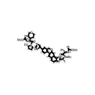 CC[C@H]1CC[C@@H](c2ncc(-c3ccc4c(c3)COc3cc5c(ccc6nc([C@H](C)N(C(=O)[C@@H](NC(=O)OC)C(C)C)[C@@H](C)CC)[nH]c65)cc3-4)[nH]2)N1C(=O)[C@@H](NC(=O)OC)C1CCOCC1